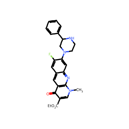 CCOC(=O)c1cn(C)c2nc3cc(N4CCNC(c5ccccc5)C4)c(F)cc3cc2c1=O